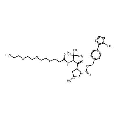 Cc1ncsc1-c1ccc(CNC(=O)[C@@H]2C[C@@H](O)CN2C(=O)C(NC(=O)CCOCCOCCOCCN)C(C)(C)C)cc1